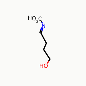 O=C(O)N=CCCCO